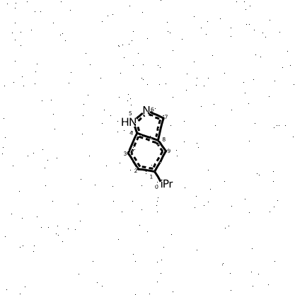 CC(C)c1ccc2[nH]n[c]c2c1